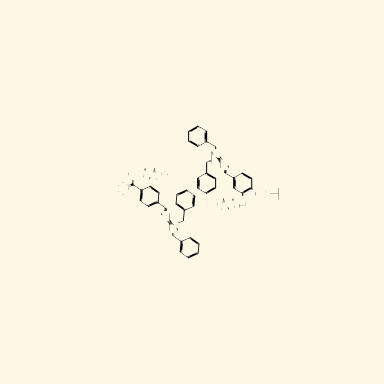 COC(=O)c1ccc(C=NN(Cc2ccccc2)Cc2ccccc2)cc1.COc1cc(C=NN(Cc2ccccc2)Cc2ccccc2)ccc1O